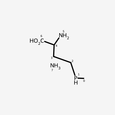 CPCCC(N)C(=O)O.N